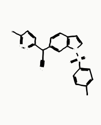 Cc1ccc(S(=O)(=O)n2ccc3ccc(C(C#N)c4ccc(Cl)nn4)cc32)cc1